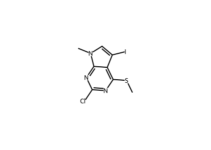 CSc1nc(Cl)nc2c1c(I)cn2C